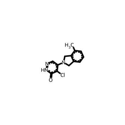 Cc1cccc2c1CN(c1cn[nH]c(=O)c1Cl)C2